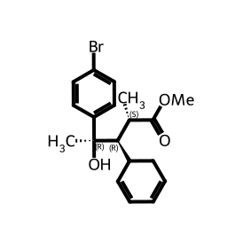 COC(=O)[C@@H](C)[C@@H](C1C=CC=CC1)[C@@](C)(O)c1ccc(Br)cc1